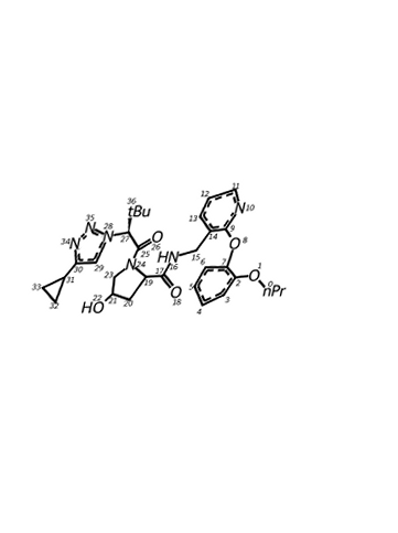 CCCOc1ccccc1Oc1ncccc1CNC(=O)C1CC(O)CN1C(=O)[C@@H](n1cc(C2CC2)nn1)C(C)(C)C